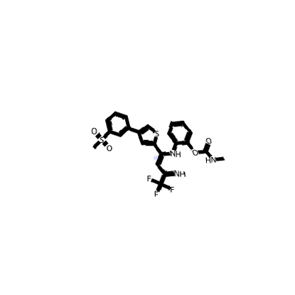 CNC(=O)Oc1ccccc1N/C(=C\C(=N)C(F)(F)F)c1cc(-c2cccc(S(C)(=O)=O)c2)cs1